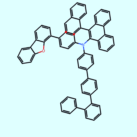 c1ccc(-c2ccccc2-c2ccc(-c3ccc(N(c4ccc(-c5cccc6c5oc5ccccc56)cc4)c4c(-c5cccc6ccccc56)c5ccccc5c5ccccc45)cc3)cc2)cc1